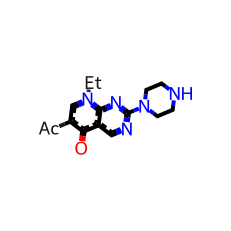 CCn1cc(C(C)=O)c(=O)c2cnc(N3CCNCC3)nc21